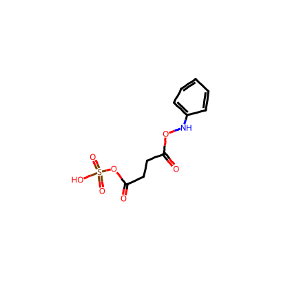 O=C(CCC(=O)OS(=O)(=O)O)ONc1ccccc1